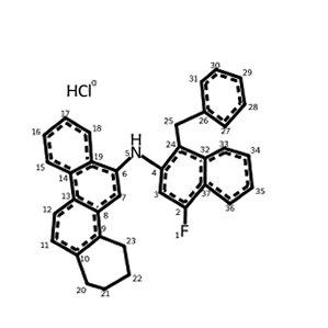 Cl.Fc1cc(Nc2cc3c4c(ccc3c3ccccc23)CCCC4)c(Cc2ccccc2)c2ccccc12